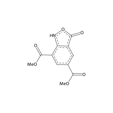 COC(=O)c1cc(C(=O)OC)c2[nH]oc(=O)c2c1